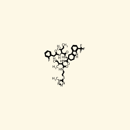 CCC(C)[C@H](NC(=O)Cc1ccccc1F)C(=O)N[C@]1(C(=O)NC(C(=O)NCCSc2nnnn2C)[C@@H](C)CC)CCc2[nH]c3c(C(F)(F)F)cccc3c2C1